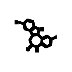 O=C1Cc2c([nH]c3ccc(Br)cc23)-c2cc(I)ccc2N1